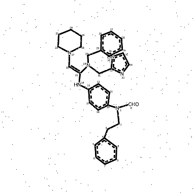 O=CN(CCc1ccccc1)c1ccc(N/C(=C/N2CCCCC2)N(Cc2ccccc2)Cc2ncc[nH]2)cc1